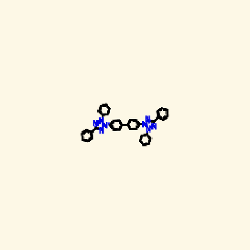 c1ccc(-c2nn(-c3ccccc3)[n+](-c3ccc(-c4ccc(-[n+]5nc(-c6ccccc6)nn5-c5ccccc5)cc4)cc3)n2)cc1